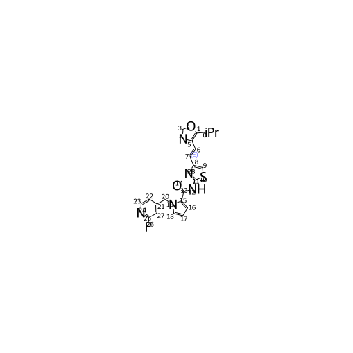 CC(C)c1ocnc1/C=C/c1csc(NC(=O)c2cccn2Cc2ccnc(F)c2)n1